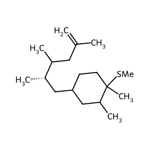 C=C(C)CC(C)[C@@H](C)CC1CCC(C)(SC)C(C)C1